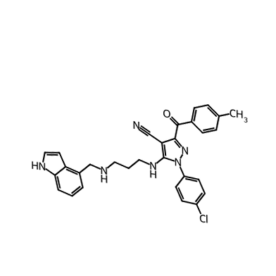 Cc1ccc(C(=O)c2nn(-c3ccc(Cl)cc3)c(NCCCNCc3cccc4[nH]ccc34)c2C#N)cc1